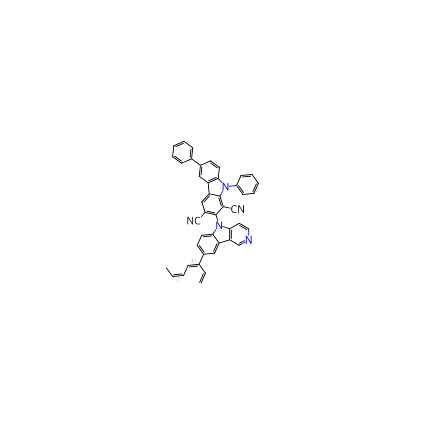 C=C/C(=C\C=C/C)c1ccc2c(c1)c1cnccc1n2-c1c(C#N)cc2c3cc(-c4ccccc4)ccc3n(-c3ccccc3)c2c1C#N